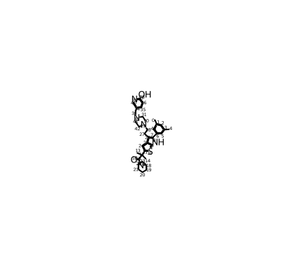 Cc1cc(C)cc(-c2[nH]c3sc(C(C)(C)C(=O)N4C5CCC4CC5)cc3c2CCN2CCN(Cc3ccc(O)nc3)CC2)c1